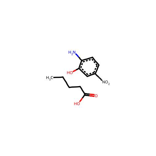 CCCCC(=O)O.Nc1ccc([N+](=O)[O-])cc1O